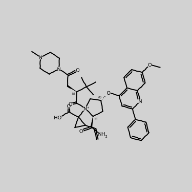 C=CC1CC1(C(=O)O)[N+]1(C(=O)[C@@H](CC(=O)N2CCN(C)CC2)C(C)(C)C)C[C@H](Oc2cc(-c3ccccc3)nc3cc(OC)ccc23)C[C@H]1C(N)=O